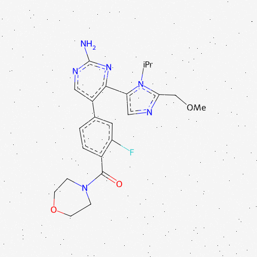 COCc1ncc(-c2nc(N)ncc2-c2ccc(C(=O)N3CCOCC3)c(F)c2)n1C(C)C